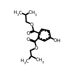 CC(C)COC(=O)c1ccc(O)cc1C(=O)OCC(C)C